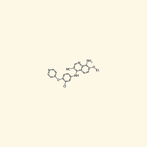 CCOc1ccc2c(Nc3ccc(Oc4ccncc4)c(Cl)c3)c(C#N)cnc2c1N